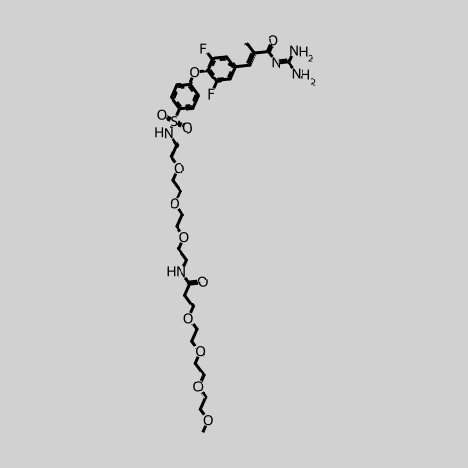 COCCOCCOCCOCCC(=O)NCCOCCOCCOCCNS(=O)(=O)c1ccc(Oc2c(F)cc(/C=C(\C)C(=O)N=C(N)N)cc2F)cc1